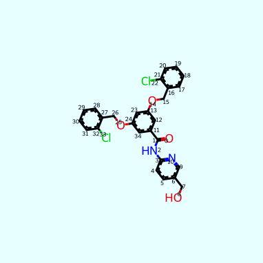 O=C(Nc1ccc(CO)cn1)c1cc(OCc2ccccc2Cl)cc(OCc2ccccc2Cl)c1